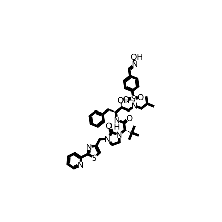 CC(C)CN(C[C@@H](O)[C@H](Cc1ccccc1)NC(=O)[C@@H](N1CCN(Cc2csc(-c3ccccn3)n2)C1=O)C(C)(C)C)S(=O)(=O)c1ccc(/C=N/O)cc1